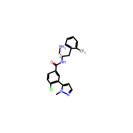 Cn1nccc1-c1cc(C(=O)N[C@H](CN)Cc2ccccc2C(F)(F)F)ccc1Cl